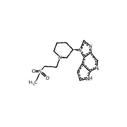 CS(=O)(=O)CCN1CCC[C@@H](n2cnc3cnc4[nH]ccc4c32)C1